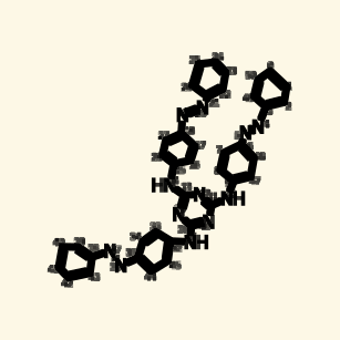 c1ccc(N=Nc2ccc(Nc3nc(Nc4ccc(N=Nc5ccccc5)cc4)nc(Nc4ccc(N=Nc5ccccc5)cc4)n3)cc2)cc1